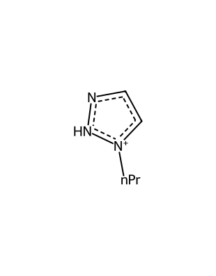 CCC[n+]1ccn[nH]1